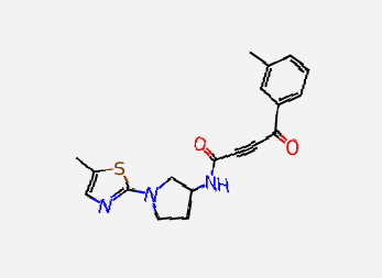 Cc1cccc(C(=O)C#CC(=O)NC2CCN(c3ncc(C)s3)C2)c1